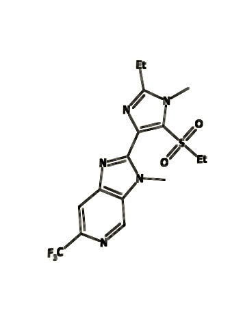 CCc1nc(-c2nc3cc(C(F)(F)F)ncc3n2C)c(S(=O)(=O)CC)n1C